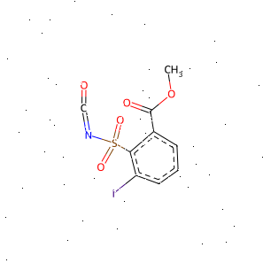 COC(=O)c1cccc(I)c1S(=O)(=O)N=C=O